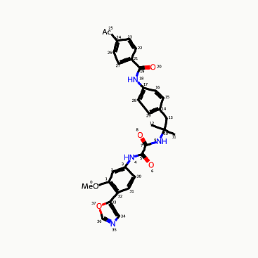 COc1cc(NC(=O)C(=O)NC(C)(C)Cc2ccc(NC(=O)c3ccc(C(C)=O)cc3)cc2)ccc1-c1cnco1